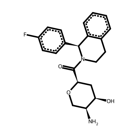 N[C@H]1CO[C@@H](C(=O)N2CCc3ccccc3[C@@H]2c2ccc(F)cc2)C[C@H]1O